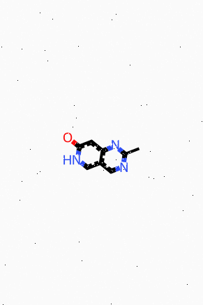 Cc1ncc2c[nH]c(=O)cc2n1